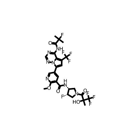 COc1ncc(-c2cc(C(F)(F)F)c3c(NC(=O)C(C)(C)F)ncnn23)cc1C(=O)N[C@@H]1CN(C(=O)C(C)(O)C(F)(F)F)C[C@@H]1F